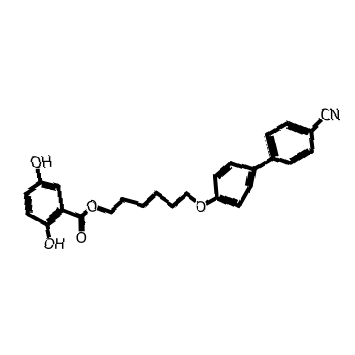 N#Cc1ccc(-c2ccc(OCCCCCCOC(=O)c3cc(O)ccc3O)cc2)cc1